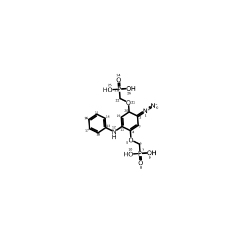 [N-]=[N+]=C1C=C(OCP(=O)(O)O)C(Nc2ccccc2)=CC1OCP(=O)(O)O